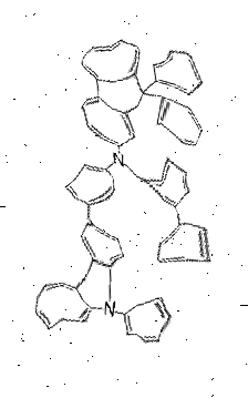 c1ccc(-c2cccc(N(c3cccc(-c4ccc5c(c4)c4ccccc4n5-c4ccccc4)c3)c3ccc4c(c3)C(c3ccccc3)(c3ccccc3)c3ccccc3-4)c2)cc1